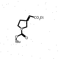 CCOC(=O)/C=C1/CCN(C(=O)OC(C)(C)C)C1